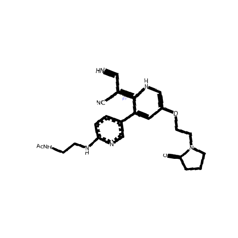 CC(=O)NCCNc1ccc(C2=CC(OCCN3CCCC3=O)=CN/C2=C(/C#N)C=N)cn1